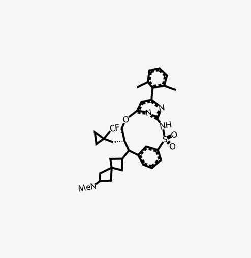 CNC1CC2(C1)CC(C1c3cccc(c3)S(=O)(=O)Nc3nc(cc(-c4c(C)cccc4C)n3)OC[C@H]1CC1(C(F)(F)F)CC1)C2